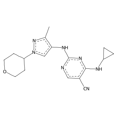 Cc1nn(C2CCOCC2)cc1Nc1ncc(C#N)c(NC2CC2)n1